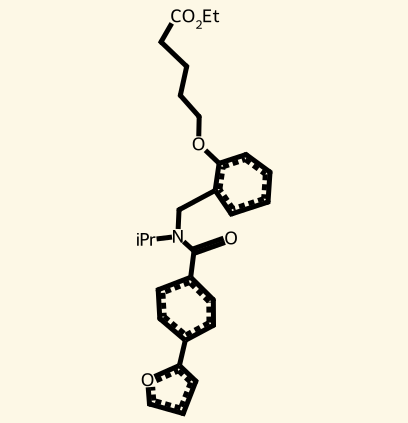 CCOC(=O)CCCCOc1ccccc1CN(C(=O)c1ccc(-c2ccco2)cc1)C(C)C